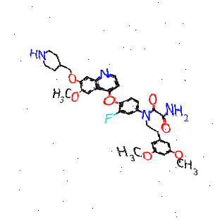 COc1cc(CCN(C(=O)C(N)=O)c2ccc(Oc3ccnc4cc(OCC5CCNCC5)c(OC)cc34)c(F)c2)cc(OC)c1